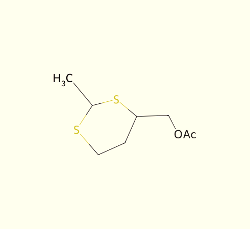 CC(=O)OCC1CCSC(C)S1